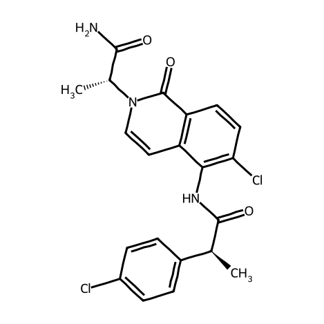 C[C@H](C(=O)Nc1c(Cl)ccc2c(=O)n([C@H](C)C(N)=O)ccc12)c1ccc(Cl)cc1